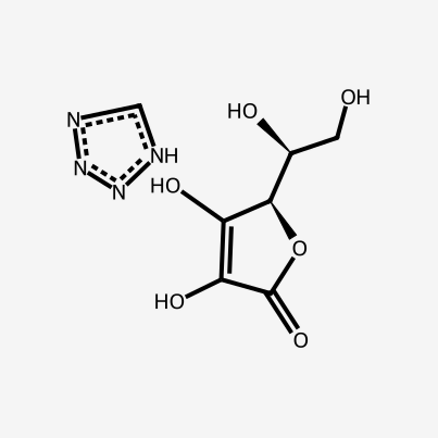 O=C1O[C@H]([C@@H](O)CO)C(O)=C1O.c1nnn[nH]1